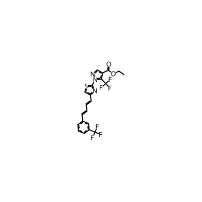 CCOC(=O)c1cnn(-c2nc(C=CC=Cc3cccc(C(F)(F)F)c3)cs2)c1C(F)(F)F